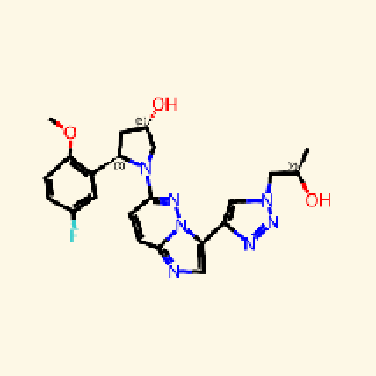 COc1ccc(F)cc1[C@H]1C[C@H](O)CN1c1ccc2ncc(-c3cn(C[C@@H](C)O)nn3)n2n1